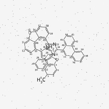 CC1C=Cc2sc3ccc(-c4cccc5oc6cccc(/C(N)=N/C(=N\Cc7ccccc7)c7cc8ccccc8c8ccccc78)c6c45)cc3c2C1